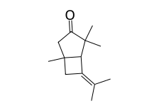 CC(C)=C1CC2(C)CC(=O)C(C)(C)C12